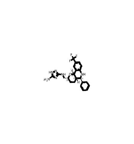 Nc1nc(NC[C@H]2CC[C@@H]3[C@H](O2)c2cc(C(F)(F)F)ccc2N[C@H]3C2C=CC=CC2)n[nH]1